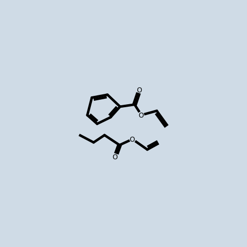 C=COC(=O)CCC.C=COC(=O)c1ccccc1